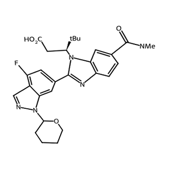 CNC(=O)c1ccc2nc(-c3cc(F)c4cnn(C5CCCCO5)c4c3)n([C@@H](CC(=O)O)C(C)(C)C)c2c1